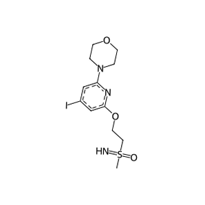 CS(=N)(=O)CCOc1cc(I)cc(N2CCOCC2)n1